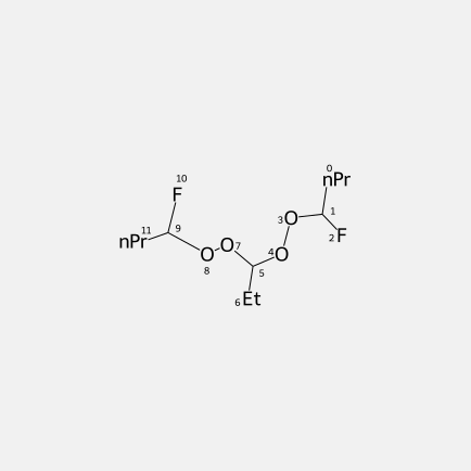 CCCC(F)OOC(CC)OOC(F)CCC